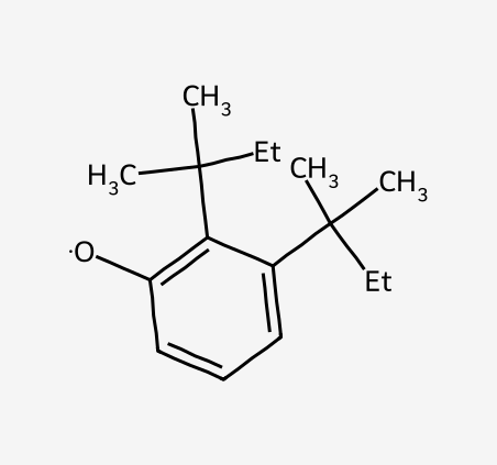 CCC(C)(C)c1cccc([O])c1C(C)(C)CC